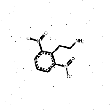 NCCc1c([N+](=O)[O-])cccc1[N+](=O)[O-]